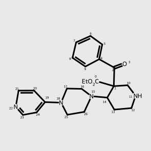 CCOC(=O)C1(C(=O)c2ccccc2)CNCCC1N1CCN(c2ccncc2)CC1